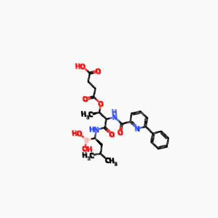 CC(C)C[C@H](NC(=O)C(NC(=O)c1cccc(-c2ccccc2)n1)[C@@H](C)OC(=O)CCC(=O)O)B(O)O